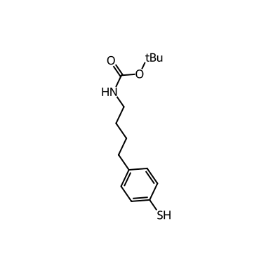 CC(C)(C)OC(=O)NCCCCc1ccc(S)cc1